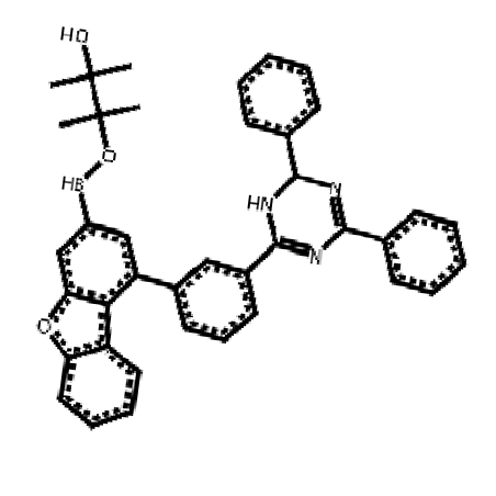 CC(C)(O)C(C)(C)OBc1cc(-c2cccc(C3=NC(c4ccccc4)=NC(c4ccccc4)N3)c2)c2c(c1)oc1ccccc12